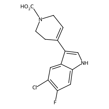 O=C(O)N1CC=C(c2c[nH]c3cc(F)c(Cl)cc23)CC1